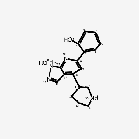 Cl.Oc1ccccc1-c1cc(C2CCCNC2)c2cn[nH]c2n1